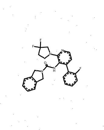 O=C(Nc1c(-c2ccccc2F)ccnc1N1CCC(F)(F)C1)N1Cc2ccccc2C1